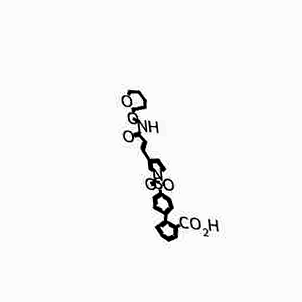 O=C(/C=C/c1ccn(S(=O)(=O)c2ccc(-c3ccccc3C(=O)O)cc2)c1)NOC1CCCCO1